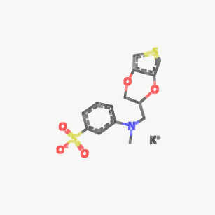 CN(CC1COc2cscc2O1)c1cccc(S(=O)(=O)[O-])c1.[K+]